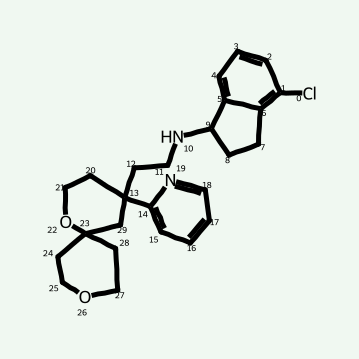 Clc1cccc2c1CCC2NCCC1(c2ccccn2)CCOC2(CCOCC2)C1